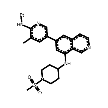 CCNc1ncc(-c2cc(NC3CCN(S(C)(=O)=O)CC3)c3cnccc3c2)cc1C